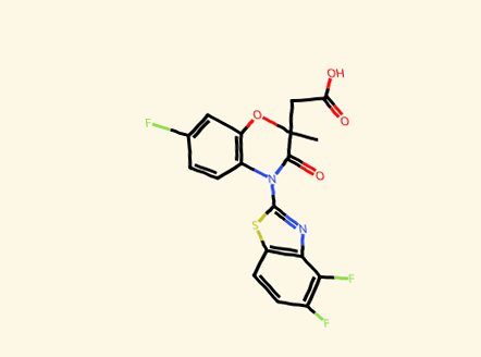 CC1(CC(=O)O)Oc2cc(F)ccc2N(c2nc3c(F)c(F)ccc3s2)C1=O